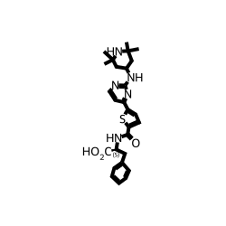 CC1(C)CC(Nc2nccc(-c3ccc(C(=O)N[C@@H](Cc4ccccc4)C(=O)O)s3)n2)CC(C)(C)N1